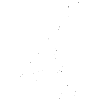 O=c1c(Cc2cccnc2)cn2c3c(cc(OCCN4CCOCC4)cc13)Sc1ccc(Br)cc1-2